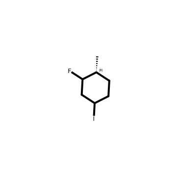 C[C@@H]1CCC(I)CC1F